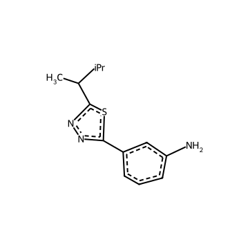 CC(C)C(C)c1nnc(-c2cccc(N)c2)s1